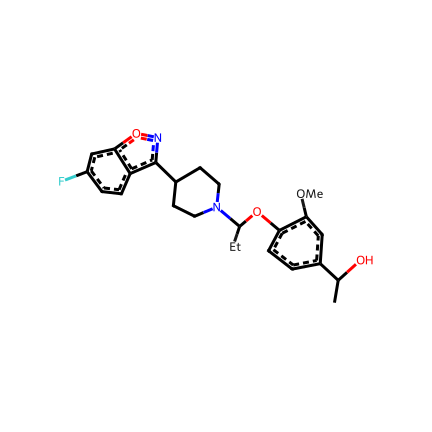 CCC(Oc1ccc(C(C)O)cc1OC)N1CCC(c2noc3cc(F)ccc23)CC1